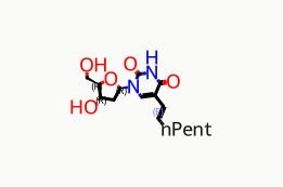 CCCCC/C=C/c1cn([C@H]2C[C@@H](O)[C@@H](CO)O2)c(=O)[nH]c1=O